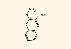 COC(=O)[C@H](CN)Cc1ccccc1